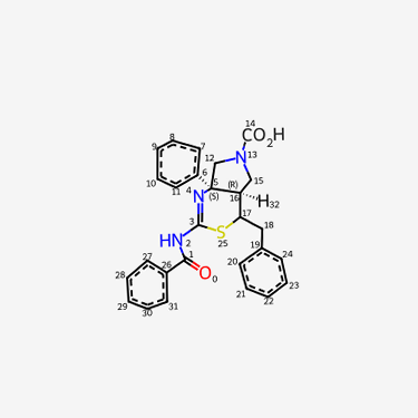 O=C(NC1=N[C@@]2(c3ccccc3)CN(C(=O)O)C[C@H]2C(Cc2ccccc2)S1)c1ccccc1